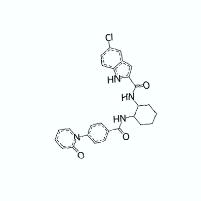 O=C(NC1CCCCC1NC(=O)c1cc2cc(Cl)ccc2[nH]1)c1ccc(-n2ccccc2=O)cc1